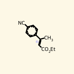 CCOC(=O)/C=C(\C)c1ccc(C#N)cc1